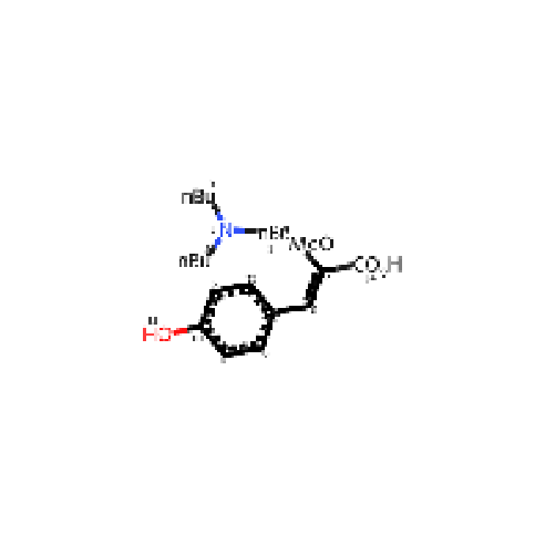 CCCCN(CCCC)CCCC.CO/C(=C\c1ccc(O)cc1)C(=O)O